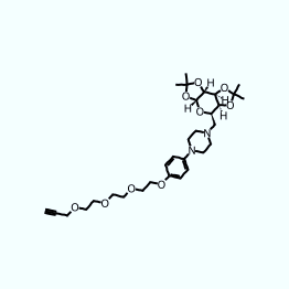 C#CCOCCOCCOCCOc1ccc(N2CCN(C[C@H]3O[C@@H]4OC(C)(C)O[C@@H]4[C@H]4OC(C)(C)O[C@H]43)CC2)cc1